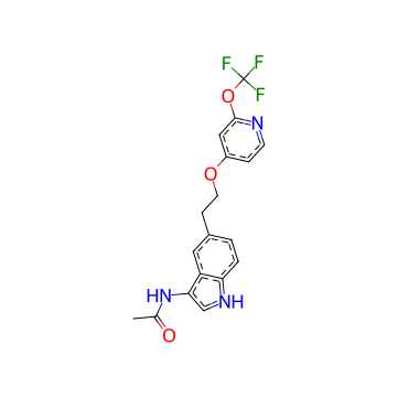 CC(=O)Nc1c[nH]c2ccc(CCOc3ccnc(OC(F)(F)F)c3)cc12